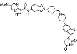 CNc1cnc2c(C(=O)Nc3ccc4nn([C@H]5CC[C@H](CN6CCC(c7ccn8c(N9CCC(=O)NC9=O)cnc8c7)CC6)CC5)cc4c3)cnn2c1